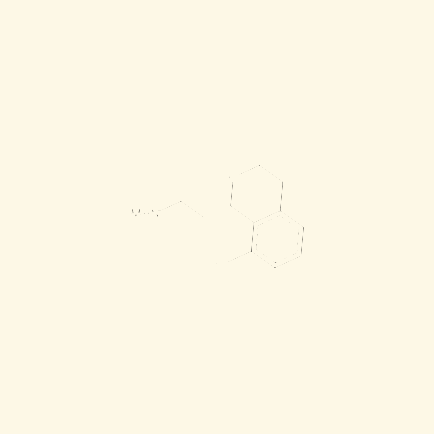 CNCC[C@@H]1OCCc2cccc(Cl)c21